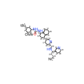 COc1ccc(C(C)(C)C)cc1NC(=O)Nc1ccc(-c2ccc(CNC(CCC#N)c3cccnc3)nc2)c2ccccc12